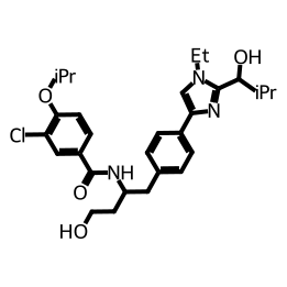 CCn1cc(-c2ccc(CC(CCO)NC(=O)c3ccc(OC(C)C)c(Cl)c3)cc2)nc1C(O)C(C)C